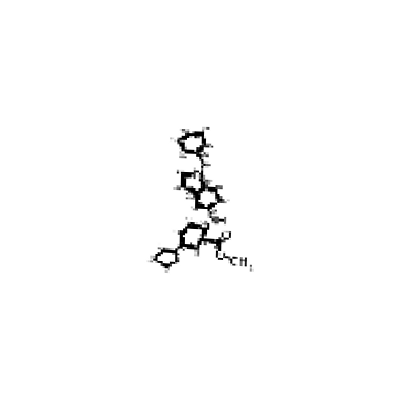 COC(=O)c1cc(C2CCCC2)ccc1Nc1ccc2c(ccn2Cc2ccccc2)c1